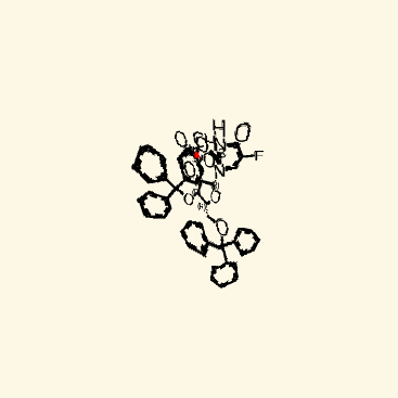 CS(=O)(=O)O[C@@H]1[C@H](OC(c2ccccc2)(c2ccccc2)c2ccccc2)[C@@H](COC(c2ccccc2)(c2ccccc2)c2ccccc2)O[C@H]1n1cc(F)c(=O)[nH]c1=O